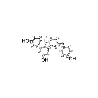 CC(c1ccc(O)cc1)(c1ccc(O)cc1)c1ccc(Sc2ccc(O)cc2)cc1